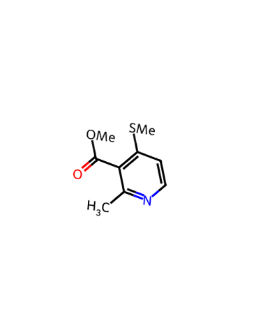 COC(=O)c1c(SC)ccnc1C